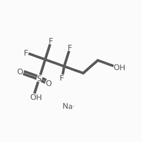 O=S(=O)(O)C(F)(F)C(F)(F)CCO.[Na]